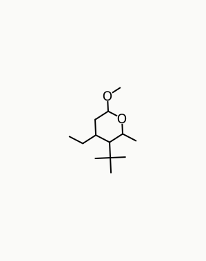 CCC1CC(OC)OC(C)C1C(C)(C)C